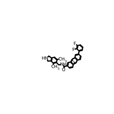 Cc1cc2c(c(C)c1CNC(=O)c1ccc3c(c1)C1OC3c3ccc(-c4cccc(F)c4F)cc31)CNC2